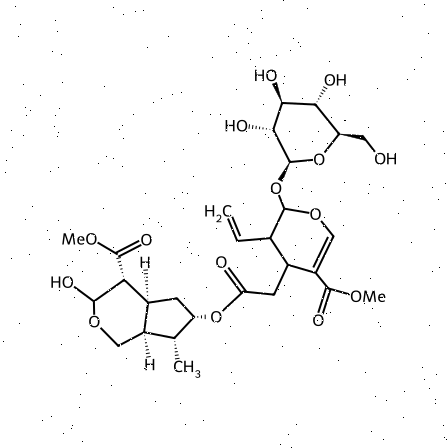 C=CC1C(O[C@@H]2O[C@H](CO)[C@@H](O)[C@H](O)[C@H]2O)OC=C(C(=O)OC)C1CC(=O)O[C@H]1C[C@H]2[C@H](COC(O)[C@@H]2C(=O)OC)[C@H]1C